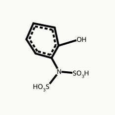 O=S(=O)(O)N(c1ccccc1O)S(=O)(=O)O